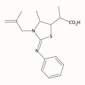 C=C(C)CN1C(=Nc2ccccc2)SC(C(C)C(=O)O)C1C